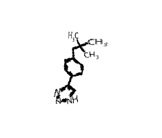 CC(C)(C)Cc1ccc(-c2c[nH]nn2)cc1